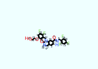 C[C@H]1c2ccc(C(=O)NCc3c(F)cc(F)cc3F)cc2N(Cc2cc(OCCO)cc(F)c2F)C(=O)N1C